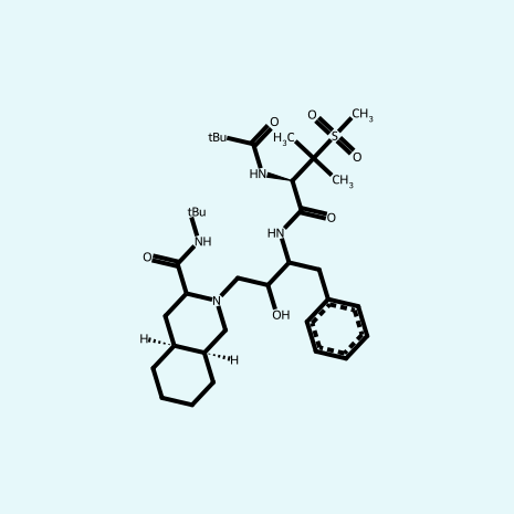 CC(C)(C)NC(=O)C1C[C@@H]2CCCC[C@@H]2CN1CC(O)C(Cc1ccccc1)NC(=O)[C@@H](NC(=O)C(C)(C)C)C(C)(C)S(C)(=O)=O